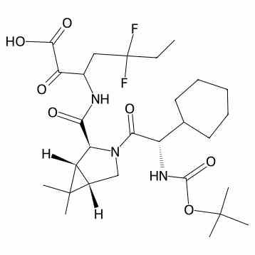 CCC(F)(F)CC(NC(=O)[C@@H]1[C@@H]2[C@H](CN1C(=O)[C@@H](NC(=O)OC(C)(C)C)C1CCCCC1)C2(C)C)C(=O)C(=O)O